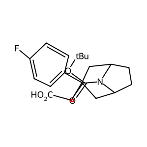 CC(C)(C)OC(=O)N1C2CCC1CC(CC(=O)O)(c1ccc(F)cc1)C2